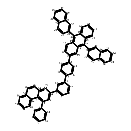 c1ccc(-c2cc(-c3cccc(-c4ccc(-c5ccc6c(-c7ccc8ccccc8c7)c7ccccc7c(-c7ccc8ccccc8c7)c6c5)cc4)c3)nc3ccc4ccccc4c23)cc1